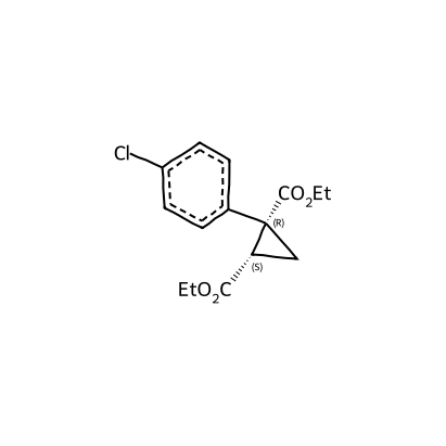 CCOC(=O)[C@H]1C[C@]1(C(=O)OCC)c1ccc(Cl)cc1